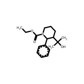 CCOC(=O)N1CCCC(C(C)(C)O)C1c1ccccc1